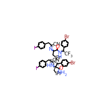 CC(C)CC(=N[C@H](C#N)Cc1ccc(I)cc1)C(=O)N[C@@H](c1ccc(Br)cc1)C(F)(F)F.CC(C)C[C@](N[C@H](C#N)Cc1ccc(I)cc1)(C(N)=O)[C@H](c1ccc(Br)cc1)C(F)(F)F